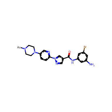 CC(=O)N1CCN(c2ccc(-n3cc(C(=O)Nc4cc(N)cc(Br)c4)cn3)nc2)CC1